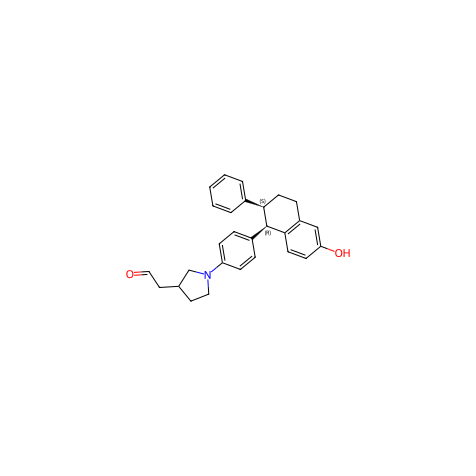 O=CCC1CCN(c2ccc([C@@H]3c4ccc(O)cc4CC[C@@H]3c3ccccc3)cc2)C1